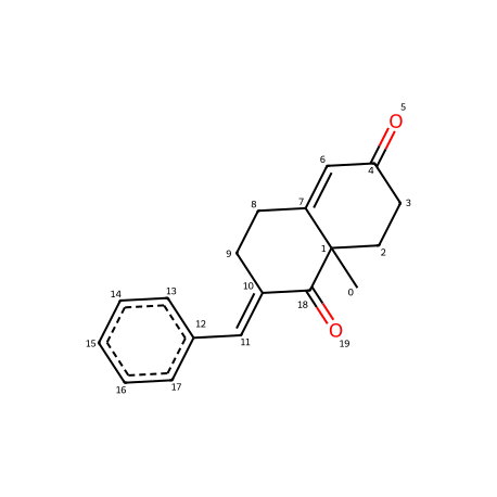 CC12CCC(=O)C=C1CCC(=Cc1ccccc1)C2=O